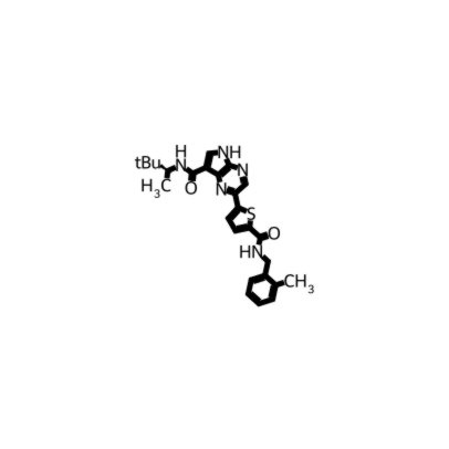 Cc1ccccc1CNC(=O)c1ccc(-c2cnc3[nH]cc(C(=O)N[C@@H](C)C(C)(C)C)c3n2)s1